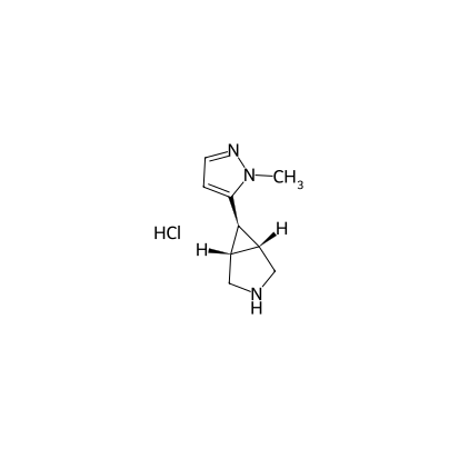 Cl.Cn1nccc1[C@H]1[C@@H]2CNC[C@@H]21